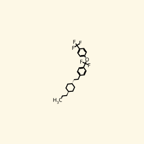 CCC[C@H]1CC[C@H](CCc2ccc(C(F)(F)Oc3ccc(C(F)(F)F)cc3)cc2)CC1